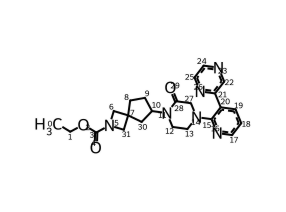 CCOC(=O)N1CC2(CCC(N3CCN(c4ncccc4-c4cnccn4)CC3=O)C2)C1